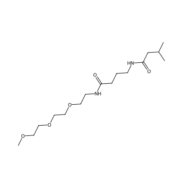 COCCOCCOCCNC(=O)CCCNC(=O)CC(C)C